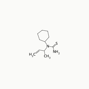 C=CC(C)N(C(N)=S)C1CCCCC1